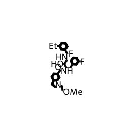 CCc1cccc(CNC[C@@H](O)[C@H](Cc2cc(F)cc(F)c2)NC(=O)c2ccc3ccn(CCOC)c3c2)c1